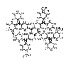 C=C(C)c1ccc(N(c2ccc(C)cc2)c2ccc3c(-c4ccc(N(c5ccccc5)c5ccccc5)cc4)c4cc(N(c5ccc(C(C)(C)C)cc5)c5ccc(C(F)(F)F)cc5)ccc4c(-c4ccc(N(c5ccccc5)c5ccccc5)cc4)c3c2)cc1